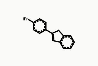 CC(C)c1ccc(C2=Cc3ccccc3[CH]2)cc1